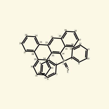 S=P(c1ccccc1)(c1ccccc1)c1c2ccccc2cc2c3ccccc3c3ccccc3c12